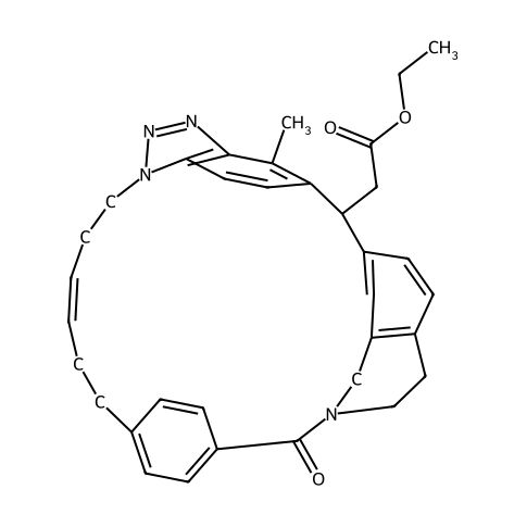 CCOC(=O)CC1c2ccc3c(c2)CN(CC3)C(=O)c2ccc(cc2)CC/C=C\CCn2nnc3c(C)c1ccc32